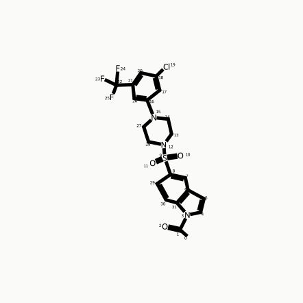 CC(=O)n1ccc2cc(S(=O)(=O)N3CCN(c4cc(Cl)cc(C(F)(F)F)c4)CC3)ccc21